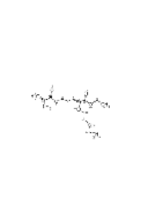 C=C(C)C(=O)OCCC=C(OCCOCC)C(=O)OCC